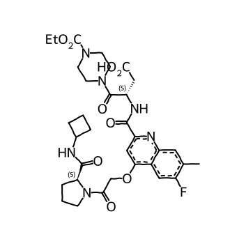 CCOC(=O)N1CCN(C(=O)[C@H](CC(=O)O)NC(=O)c2cc(OCC(=O)N3CCC[C@H]3C(=O)NC3CCC3)c3cc(F)c(C)cc3n2)CC1